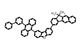 CC1(C)c2ccc(-c3ccc4oc5ccc(-c6c7ccccc7c(-c7cccc(-c8ccccc8)c7)c7ccccc67)cc5c4c3)cc2-c2cc3ccccc3cc21